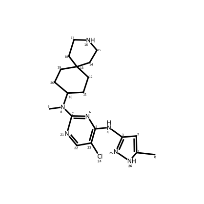 Cc1cc(Nc2nc(N(C)C3CCC4(CCNCC4)CC3)ncc2Cl)n[nH]1